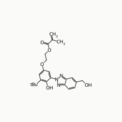 C=C(C)C(=O)OCCOc1cc(-n2nc3ccc(CO)cc3n2)c(O)c(C(C)(C)C)c1